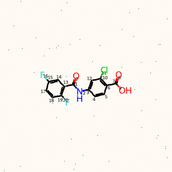 O=C(Nc1ccc(C(=O)O)c(Cl)c1)c1cc(F)ccc1F